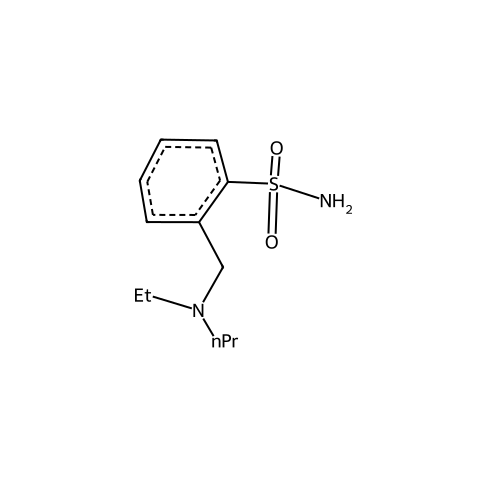 CCCN(CC)Cc1ccccc1S(N)(=O)=O